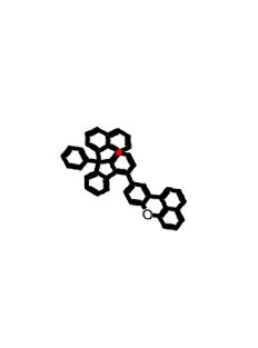 c1ccc(C2(c3cccc4ccccc34)c3ccccc3-c3c(-c4ccc5c(c4)-c4cccc6cccc(c46)O5)cccc32)cc1